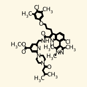 COC(=O)c1cc(CNC(=O)c2[nH]c3c(-c4c(C)nn(C)c4C)c(Cl)ccc3c2CCCOc2cc(C)c(Cl)c(C)c2)nc(N2CCN(C(=O)CC(C)C)CC2)c1